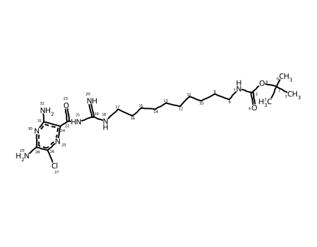 CC(C)(C)OC(=O)NCCCCCCCCCCNC(=N)NC(=O)c1nc(Cl)c(N)nc1N